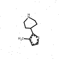 Cc1ccsc1C1CCNCC1